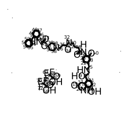 COc1cc(CNC[C@H](O)c2ccc(O)c3c2CC(=O)CN3)ccc1NC(=O)CCCN(C)C(=O)CCN1CCC(OC(=O)Nc2ccccc2-c2ccccc2)CC1.O=C(O)C(F)(F)F.O=C(O)C(F)(F)F